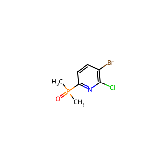 CP(C)(=O)c1ccc(Br)c(Cl)n1